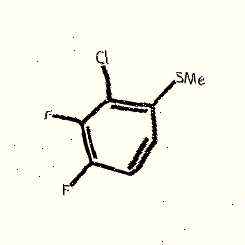 CSc1ccc(F)c(F)c1Cl